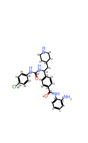 Nc1ccccc1NC(=O)c1ccc(C(CC2CCNCC2)NC(=O)Nc2ccc(Cl)cc2)cc1